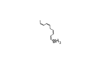 B/C=C\C=C/C/C=C\C=C/C